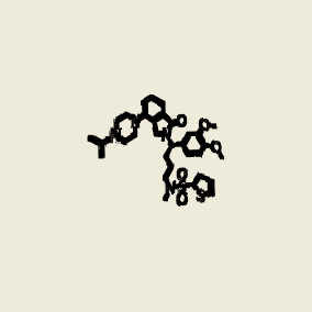 COc1ccc([C@@H](CCCN(C)S(=O)(=O)C2CC=CS2)N2Cc3c(cccc3N3CCN(C(C)C)CC3)C2=O)cc1OC